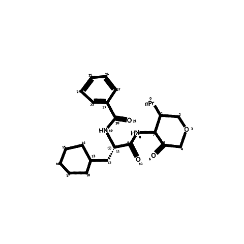 CCCC1COCC(=O)C1NC(=O)[C@H](CC1CCCCC1)NC(=O)c1ccccc1